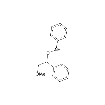 COCC(ONc1ccccc1)c1ccccc1